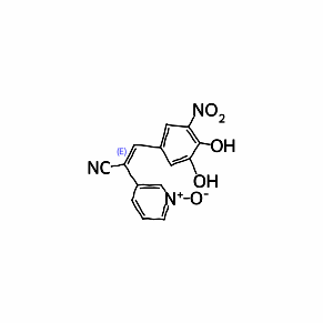 N#C/C(=C/c1cc(O)c(O)c([N+](=O)[O-])c1)c1ccc[n+]([O-])c1